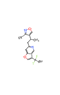 CCc1nocc1C(C)Cc1cc2occ(C(F)(F)C(C)(C)C)c2cn1